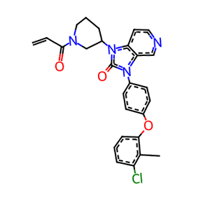 C=CC(=O)N1CCCC(n2c(=O)n(-c3ccc(Oc4cccc(Cl)c4C)cc3)c3cnccc32)C1